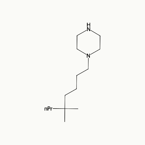 CCCC(C)(C)CCCCN1CCNCC1